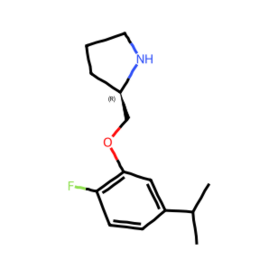 CC(C)c1ccc(F)c(OC[C@H]2CCCN2)c1